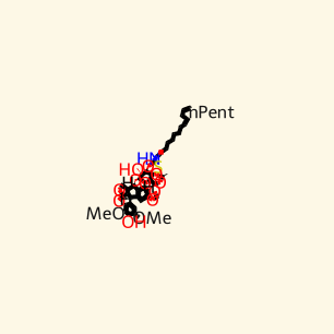 CCCCC/C=C\C/C=C\CCCCCCCCNC(=S)O[C@H]1C2O[C@H](C)OC[C@H]2O[C@@H](O[C@@H]2c3cc4c(cc3[C@@H](c3cc(OC)c(O)c(OC)c3)[C@H]3C(=O)OC[C@@H]32)OCO4)[C@@H]1O